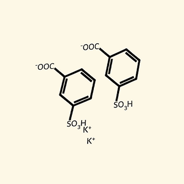 O=C([O-])c1cccc(S(=O)(=O)O)c1.O=C([O-])c1cccc(S(=O)(=O)O)c1.[K+].[K+]